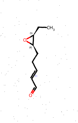 CC[C@@H]1O[C@@H]1CC/C=C/C=O